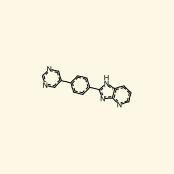 c1cnc2nc(-c3ccc(-c4cncnc4)cc3)[nH]c2c1